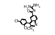 Cc1cnc2ccc(C(=O)N=C(N)N)cc2c1-c1ccc(Cl)cc1Cl